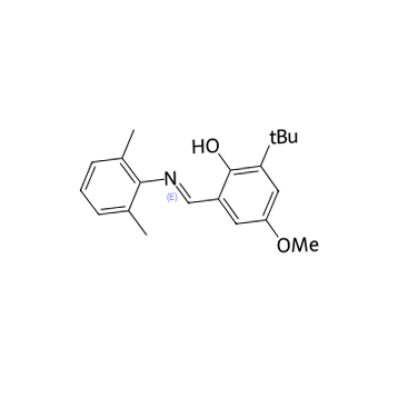 COc1cc(/C=N/c2c(C)cccc2C)c(O)c(C(C)(C)C)c1